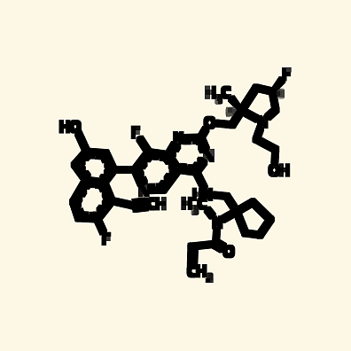 C#Cc1c(F)ccc2cc(O)cc(-c3ncc4c(NCC5(N(C)C(=O)C=C)CCCC5)nc(OC[C@]5(C)C[C@@H](F)CN5CCO)nc4c3F)c12